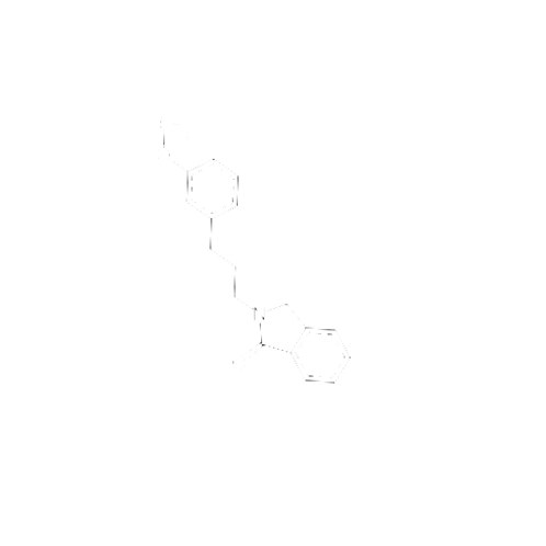 O=C1c2ccccc2CN1CCCc1cccc(OC(F)(F)F)c1